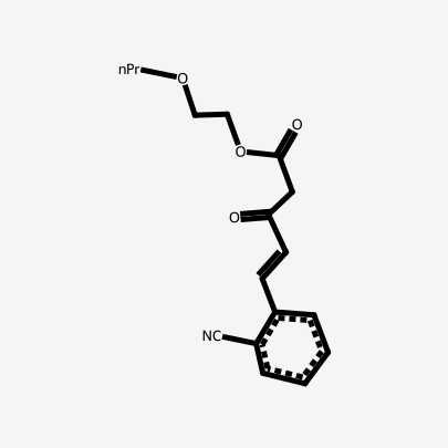 CCCOCCOC(=O)CC(=O)C=Cc1ccccc1C#N